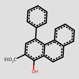 CCOC(=O)c1cc(-c2ccccc2)c2c(ccc3ccccc32)c1O